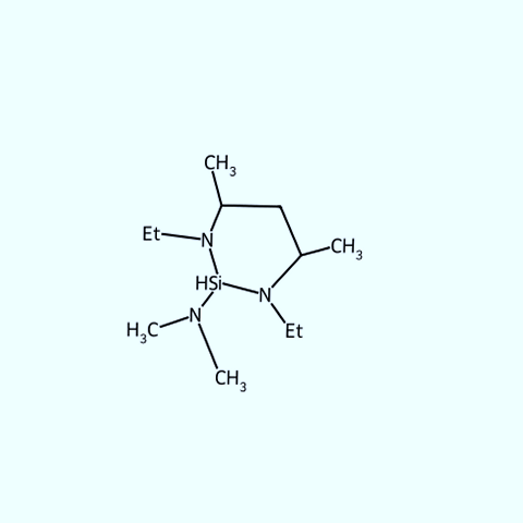 CCN1C(C)CC(C)N(CC)[SiH]1N(C)C